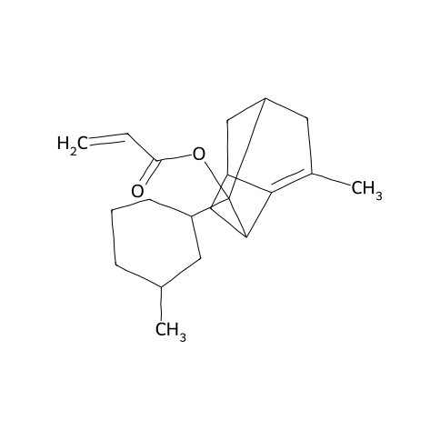 C=CC(=O)OC1(C2CCCC(C)C2)C2CC(C)=C3C(C2)CC31